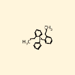 C=CCc1ccccc1P(c1ccccc1)c1ccccc1CC=C